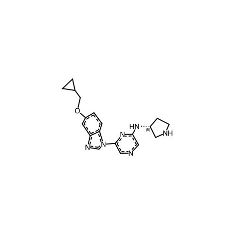 c1cc2c(cc1OCC1CC1)ncn2-c1cncc(N[C@@H]2CCNC2)n1